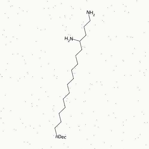 CCCCCCCCCCCCCCCCCCCCCCC(N)CCCN